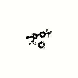 C#Cc1ncc(-c2ccc(C(F)(F)F)cc2)cc1C(=O)OC.c1cncnc1